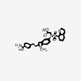 Cn1c(CCc2ccc(C(=N)N)cc2)cc2cc(N(CC(=O)O)S(=O)(=O)c3cccc4cccnc34)ccc21